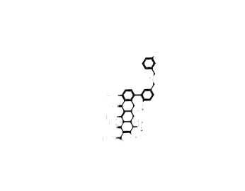 COc1ccc(CNCc2cccc(F)c2)cc1-c1ccc(O)c2c1C[C@H]1C[C@H]3C(N(C)C)C(O)=C(C(N)=O)C(=O)[C@@]3(O)C(O)=C1C2=O